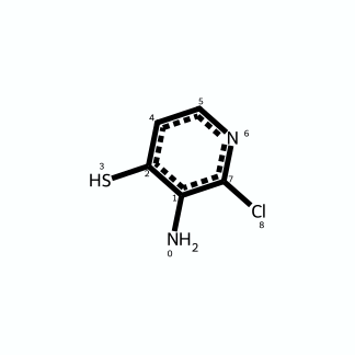 Nc1c(S)ccnc1Cl